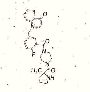 C[C@@]1(C(=O)N2CCN(C(=O)c3cc(Cn4ccc(=O)c5ccccc54)ccc3F)CC2)CCCN1